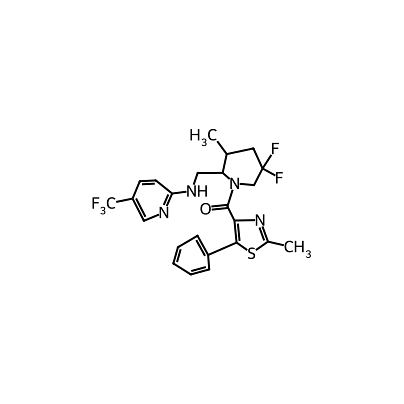 Cc1nc(C(=O)N2CC(F)(F)CC(C)C2CNc2ccc(C(F)(F)F)cn2)c(-c2ccccc2)s1